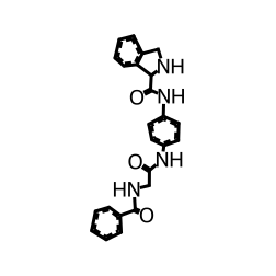 O=C(CNC(=O)c1ccccc1)Nc1ccc(NC(=O)C2NCc3ccccc32)cc1